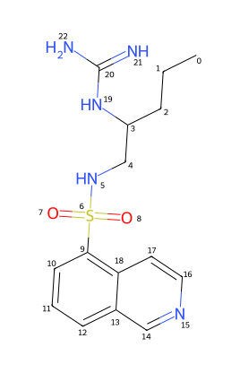 CCCC(CNS(=O)(=O)c1cccc2cnccc12)NC(=N)N